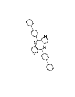 c1ccc(-c2ccc(/C3=N/c4ccncc4/C(c4ccc(-c5ccccc5)cc4)=N\c4ccncc43)cc2)cc1